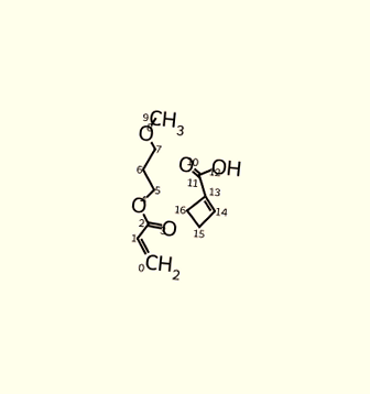 C=CC(=O)OCCCOC.O=C(O)C1=CCC1